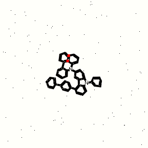 c1ccc(-c2ccc(-c3cccc4c3c3cc(N(c5ccccc5)c5ccccc5-c5ccccc5)ccc3n4-c3ccccc3)cc2)cc1